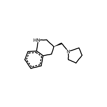 c1ccc2c(c1)C[C@H](CN1CCCC1)CN2